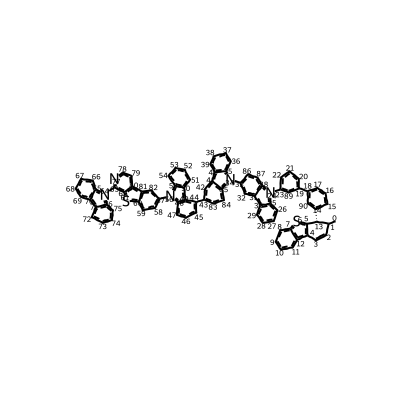 CC1C=Cc2c(sc3ccccc23)[C@@H]1c1cccc(-c2cccc(-n3c4ccccc4c4cc(-n5c6ccccc6c6cc(-c7cccc8c7c7ccccc7n8-c7ccc8sc9c(-n%10c%11ccccc%11c%11ccccc%11%10)nccc9c8c7)ccc65)ccc43)c2)c1